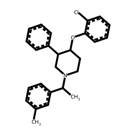 Cc1cccc(C(C)N2CCC(Oc3ccccc3Cl)C(c3ccccc3)C2)c1